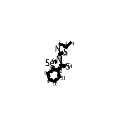 Cc1cnc(-n2[se]c3ccccc3c2=S)s1